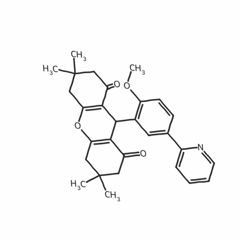 COc1ccc(-c2ccccn2)cc1C1C2=C(CC(C)(C)CC2=O)OC2=C1C(=O)CC(C)(C)C2